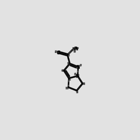 CCCC(=O)c1cc2n(n1)CCC2